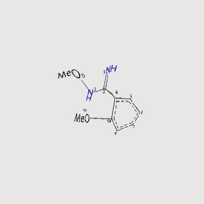 CONC(=N)c1ccccc1OC